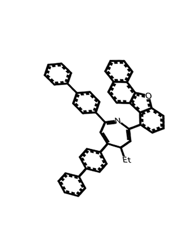 CCC1C=C(c2cccc3oc4c5ccccc5ccc4c23)N=C(c2ccc(-c3ccccc3)cc2)C=C1c1ccc(-c2ccccc2)cc1